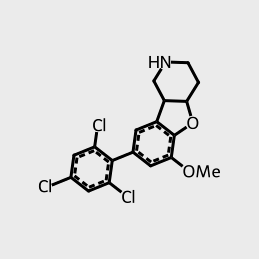 COc1cc(-c2c(Cl)cc(Cl)cc2Cl)cc2c1OC1CCNCC21